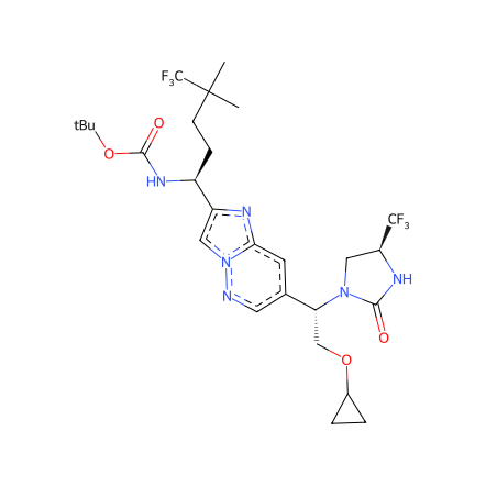 CC(C)(C)OC(=O)N[C@@H](CCC(C)(C)C(F)(F)F)c1cn2ncc([C@@H](COC3CC3)N3C[C@@H](C(F)(F)F)NC3=O)cc2n1